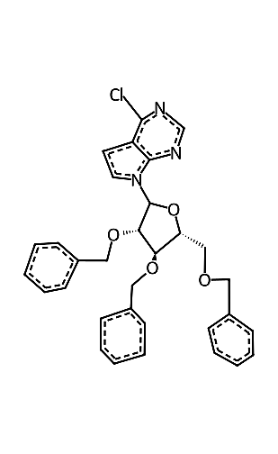 Clc1ncnc2c1ccn2C1O[C@H](COCc2ccccc2)[C@@H](OCc2ccccc2)[C@@H]1OCc1ccccc1